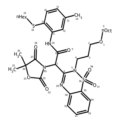 CCCCCCCCOCCCN1C(C(C(=O)Nc2cc(C)ccc2SCCCCCC)N2C(=O)OC(C)(C)C2=O)=Nc2ccccc2S1(=O)=O